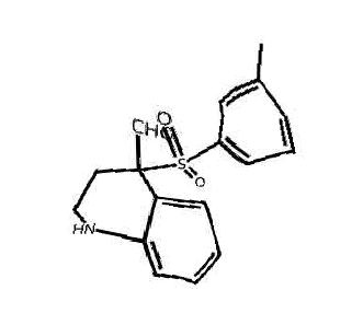 Cc1cccc(S(=O)(=O)C2(C=O)CCNc3ccccc32)c1